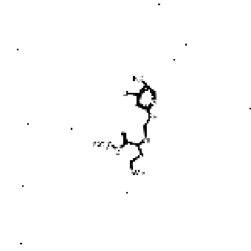 CCOC(=O)NC(=O)C(CCSC)NCNc1cc(Cl)c(C(F)(F)F)cn1